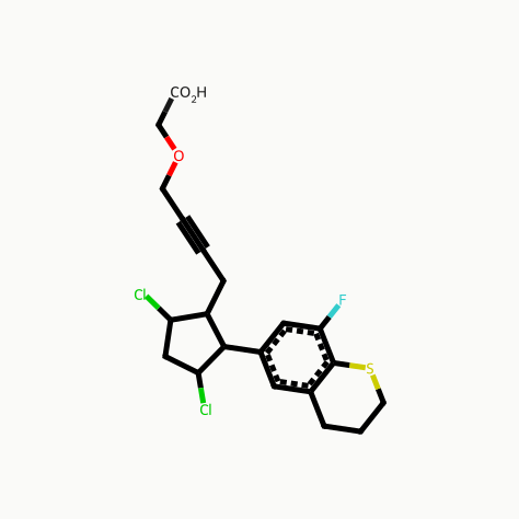 O=C(O)COCC#CCC1C(Cl)CC(Cl)C1c1cc(F)c2c(c1)CCCS2